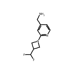 NCc1ccnc(N2CC(C(F)F)C2)c1